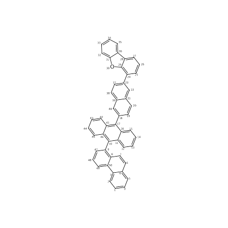 c1ccc2c(c1)ccc1c(-c3c4ccccc4c(-c4ccc5cc(-c6cccc7c6oc6ccccc67)ccc5c4)c4ccccc34)cccc12